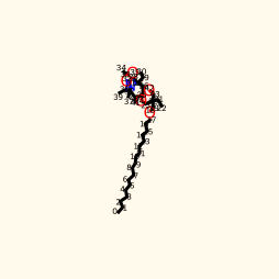 CCCCCCCCCCCCCCCCCCOCC1(CC)COC2(CC(C)(CC)N(OC(C)=O)C(C)(CC)C2C)OC1